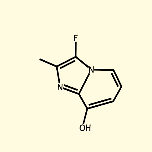 Cc1nc2c(O)cccn2c1F